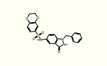 O=c1[nH]n(Cc2ccccc2)c2ccc(NS(=O)(=O)c3ccc4c(c3)OCCO4)cc12